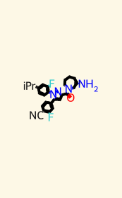 CC(C)c1ccc(-n2nc(C(=O)N3CCCC[C@@H](N)C3)cc2-c2ccc(C#N)c(F)c2)c(F)c1